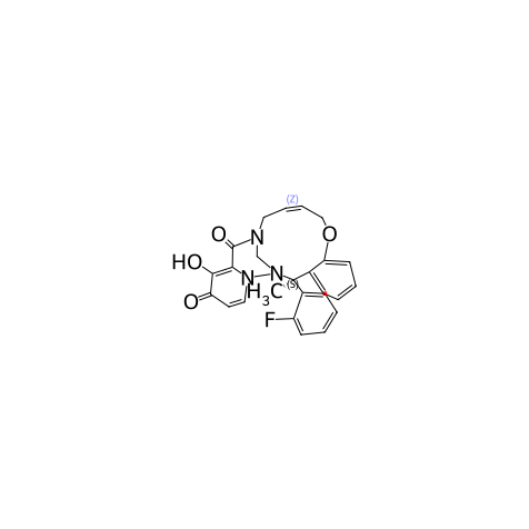 C[C@@]1(c2ccccc2F)c2ccccc2OC/C=C\CN2CN1n1ccc(=O)c(O)c1C2=O